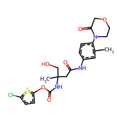 Cc1cc(NC(=O)CC(C)(CO)NC(=O)Oc2ccc(Cl)s2)ccc1N1CCOCC1=O